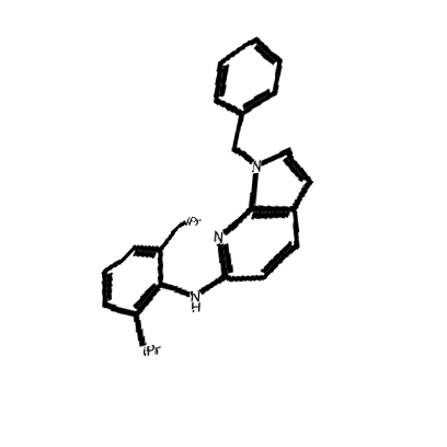 CC(C)c1cccc(C(C)C)c1Nc1ccc2ccn(Cc3ccccc3)c2n1